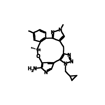 Cc1ccc2c(c1)[C@@H](C)Oc1cc(cnc1N)-c1c(nnn1CC1CC1)Cc1cn(C)nc1-2